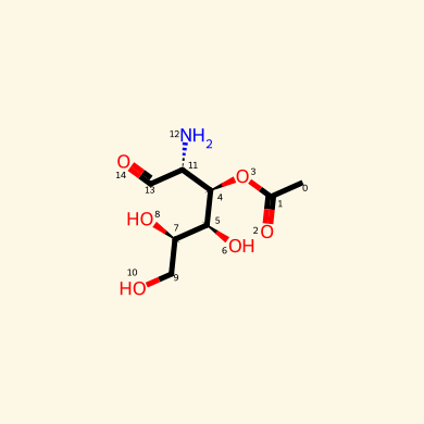 CC(=O)O[C@@H]([C@@H](O)[C@H](O)CO)[C@@H](N)C=O